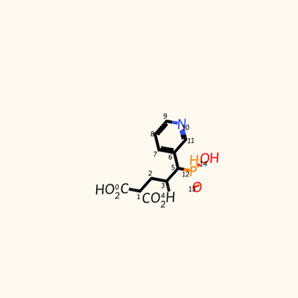 O=C(O)CCC(C(=O)O)C(c1cccnc1)[PH](=O)O